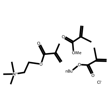 C=C(C)C(=O)OC.C=C(C)C(=O)OCCCC.C=C(C)C(=O)OCC[N+](C)(C)C.[Cl-]